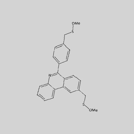 COSCc1ccc(-c2nc3ccccc3c3cc(CSOC)ccc23)cc1